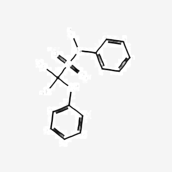 O=S(=O)(N(F)c1ccccc1)C(F)(F)Oc1ccccc1